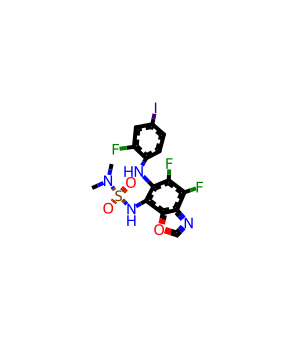 CN(C)S(=O)(=O)Nc1c(Nc2ccc(I)cc2F)c(F)c(F)c2ncoc12